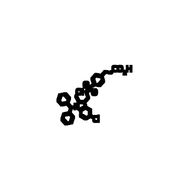 O=C(O)CCc1ccc(S(=O)(=O)CCc2c(CO)n(C(c3ccccc3)c3ccccc3)c3ccc(Cl)cc23)cc1